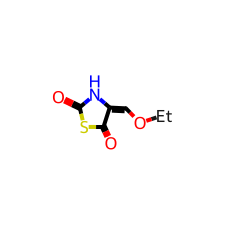 CCOC=C1NC(=O)SC1=O